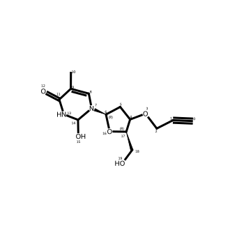 C#CCOC1C[C@H](N2C=C(C)C(=O)NC2O)O[C@@H]1CO